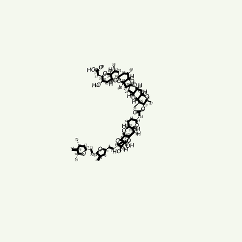 C=C1C[C@H](CC[C@]23OC4C5O[C@H]6CC[C@H](CC(=O)O[C@@H]7[C@@H](C)[C@@H]8O[C@@H]9C[C@]%10(C[C@@H]%11O[C@]%12(C[C@H](C)[C@@H]%13O[C@H](CC(=O)O)[C@H](O)C[C@@H]%13O%12)C[C@H](C)[C@@H]%11O%10)O[C@@H]9C[C@@H]8O[C@H]7C)O[C@@H]6[C@H](O2)C5O[C@@]4(O)[C@H]3O)O[C@H]1CC[C@H]1C[C@@H](C)C(=C)[C@@H](C)O1